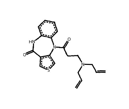 C=CCN(CC=C)CCC(=O)N1c2ccccc2NC(=O)c2cscc21